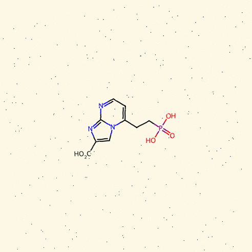 O=C(O)c1cn2c(CCP(=O)(O)O)ccnc2n1